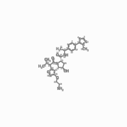 Cc1ncsc1-c1ccc(C(C)NC(=O)[C@@H]2C[C@@H](O)CN2C(=O)C(c2cc(OCCN)no2)C(C)C)cc1